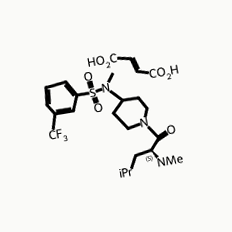 CN[C@@H](CC(C)C)C(=O)N1CCC(N(C)S(=O)(=O)c2cccc(C(F)(F)F)c2)CC1.O=C(O)C=CC(=O)O